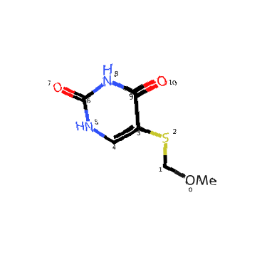 COCSc1c[nH]c(=O)[nH]c1=O